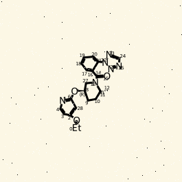 CCOc1ccnc(O[C@@H]2CC[C@@H](C)N(C(=O)c3ccccc3-n3ncnn3)C2)c1